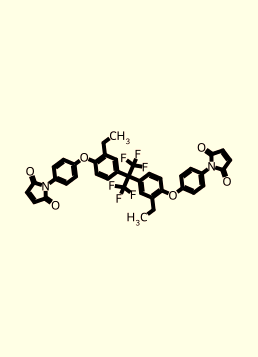 CCc1cc(C(c2ccc(Oc3ccc(N4C(=O)C=CC4=O)cc3)c(CC)c2)(C(F)(F)F)C(F)(F)F)ccc1Oc1ccc(N2C(=O)C=CC2=O)cc1